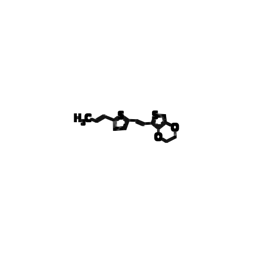 C/C=C/c1ccc(/C=C/c2scc3c2OCCO3)s1